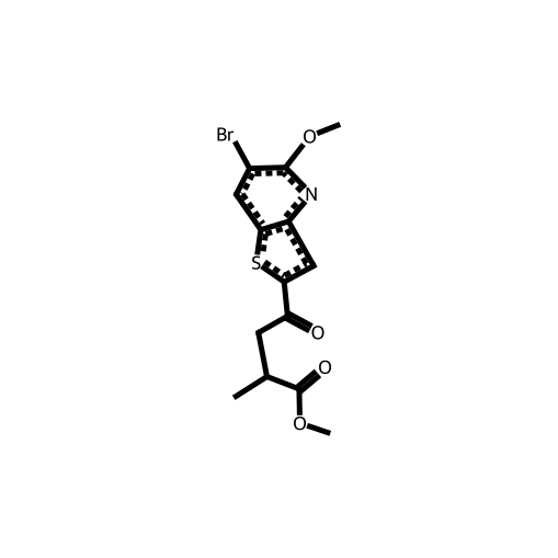 COC(=O)C(C)CC(=O)c1cc2nc(OC)c(Br)cc2s1